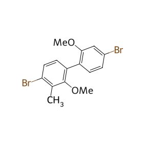 COc1cc(Br)ccc1-c1ccc(Br)c(C)c1OC